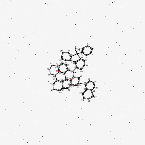 CC1(c2ccccc2)c2ccccc2-c2c(N(c3cccc(-c4cccc5ccccc45)c3)c3ccccc3-c3cccc4cccc(C5CCCCC5)c34)cccc21